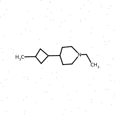 CCN1CCC(C2CC(C)C2)CC1